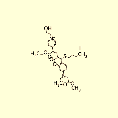 CCCCSc1c(C=C(C(=O)OCC)c2cc[n+](CCO)cc2)c(=O)oc2cc(N(CC)CC(=O)OC)ccc12.[I-]